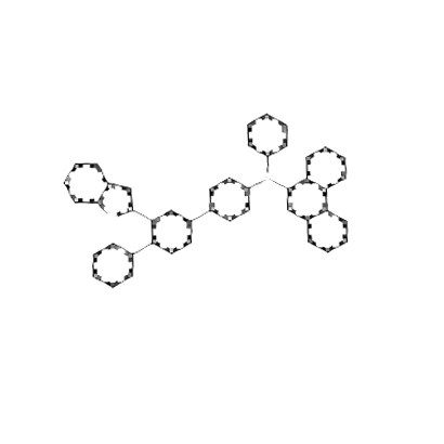 c1ccc(-c2ccc(-c3ccc(N(c4ccccc4)c4cc5ccccc5c5ccccc45)cc3)cc2-c2cc3ccccc3o2)cc1